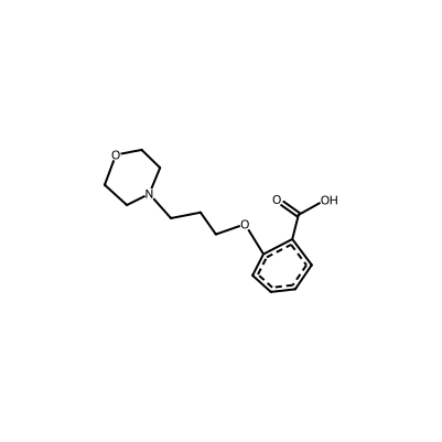 O=C(O)c1ccccc1OCCCN1CCOCC1